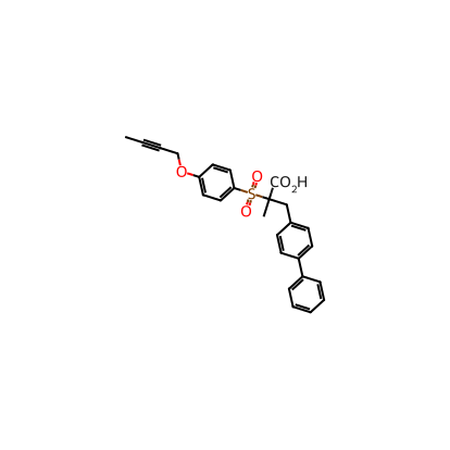 CC#CCOc1ccc(S(=O)(=O)C(C)(Cc2ccc(-c3ccccc3)cc2)C(=O)O)cc1